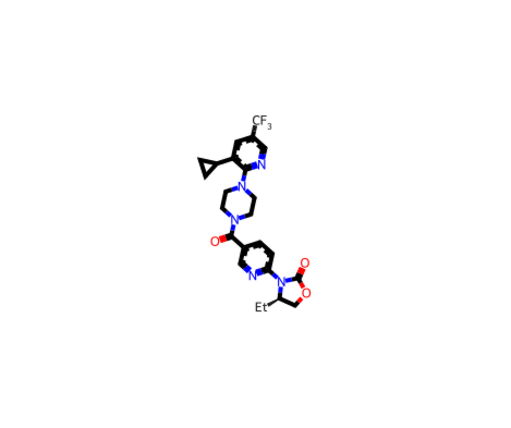 CC[C@@H]1COC(=O)N1c1ccc(C(=O)N2CCN(c3ncc(C(F)(F)F)cc3C3CC3)CC2)cn1